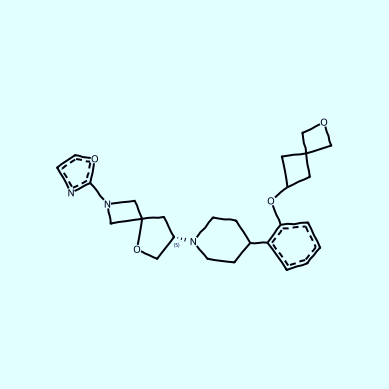 c1ccc(C2CCN([C@@H]3COC4(C3)CN(c3ncco3)C4)CC2)c(OC2CC3(COC3)C2)c1